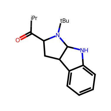 CC(C)C(=O)C1CC2c3ccccc3NC2N1C(C)(C)C